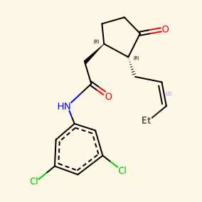 CC/C=C\C[C@H]1C(=O)CC[C@@H]1CC(=O)Nc1cc(Cl)cc(Cl)c1